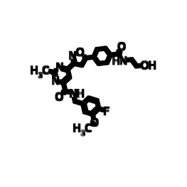 COc1cc(CNC(=O)c2cc(C3=NOC(C4CCC(C(=O)NCCO)CC4)C3)nc(C)n2)ccc1F